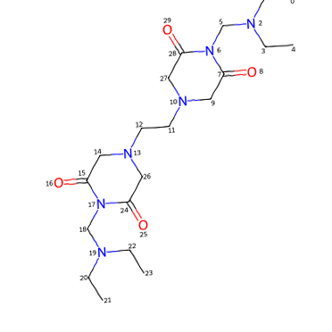 CCN(CC)CN1C(=O)CN(CCN2CC(=O)N(CN(CC)CC)C(=O)C2)CC1=O